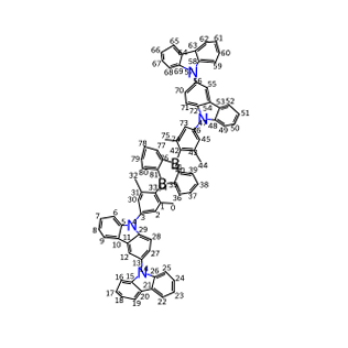 Cc1cc(-n2c3ccccc3c3cc(-n4c5ccccc5c5ccccc54)ccc32)cc(C)c1B1c2ccccc2B(c2c(C)cc(-n3c4ccccc4c4cc(-n5c6ccccc6c6ccccc65)ccc43)cc2C)c2ccccc21